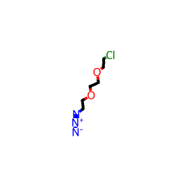 [N-]=[N+]=NCCOCCOCCCl